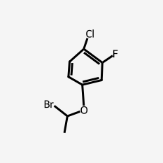 CC(Br)Oc1ccc(Cl)c(F)c1